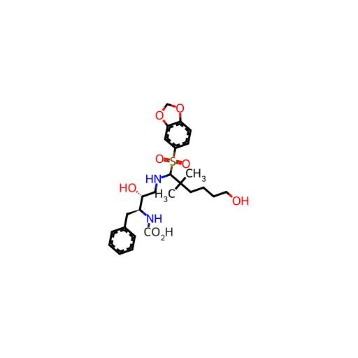 CC(C)(CCCCO)C(NC[C@@H](O)[C@H](Cc1ccccc1)NC(=O)O)S(=O)(=O)c1ccc2c(c1)OCO2